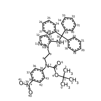 CC(C)(C)OC(=O)N(CCn1nccc1NC(c1ccccc1)(c1ccccc1)c1ccccc1)c1ccc([N+](=O)[O-])cc1